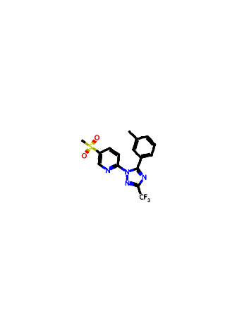 Cc1cccc(-c2nc(C(F)(F)F)nn2-c2ccc(S(C)(=O)=O)cn2)c1